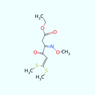 CCOC(=O)CC(=NOC)C(=O)C=C(SC)SC